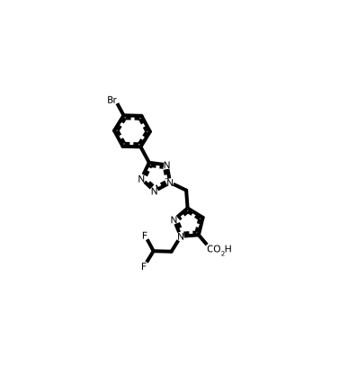 O=C(O)c1cc(Cn2nnc(-c3ccc(Br)cc3)n2)nn1CC(F)F